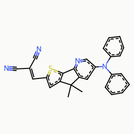 CC1(C)c2cc(N(c3ccccc3)c3ccccc3)cnc2-c2sc(C=C(C#N)C#N)cc21